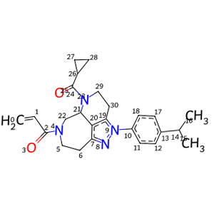 C=CC(=O)N1CCc2nn(-c3ccc(C(C)C)cc3)c3c2C(C1)N(C(=O)C1CC1)CC3